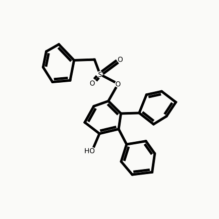 O=S(=O)(Cc1ccccc1)Oc1ccc(O)c(-c2ccccc2)c1-c1ccccc1